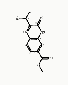 COC(=O)c1ccc2nc(C(C)O)c(=O)[nH]c2c1